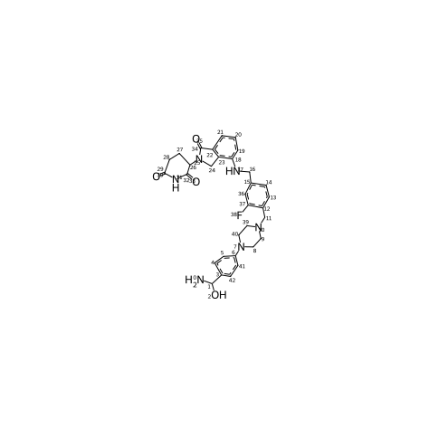 NC(O)c1ccc(N2CCN(Cc3ccc(CNc4cccc5c4CN(C4CCC(=O)NC4=O)C5=O)cc3F)CC2)cc1